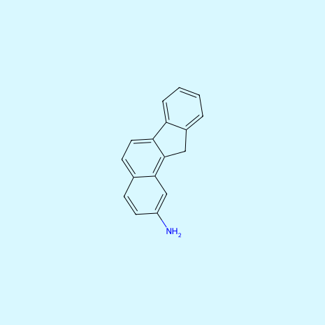 Nc1ccc2ccc3c(c2c1)Cc1ccccc1-3